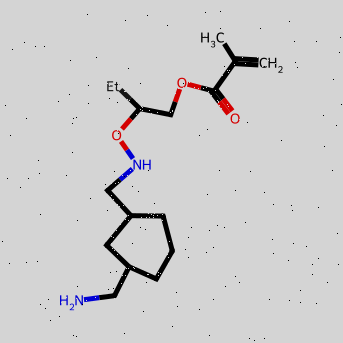 C=C(C)C(=O)OCC(CC)ONCC1CCCC(CN)C1